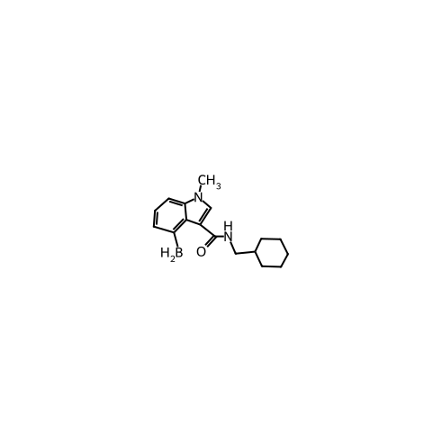 Bc1cccc2c1c(C(=O)NCC1CCCCC1)cn2C